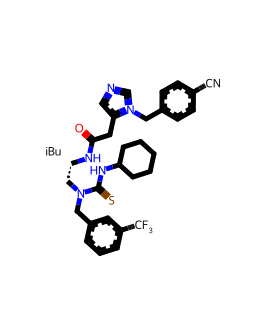 CC[C@H](C)[C@@H](CN(Cc1cccc(C(F)(F)F)c1)C(=S)NC1CCCCC1)NC(=O)Cc1cncn1Cc1ccc(C#N)cc1